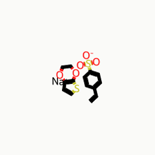 C=Cc1ccc(S(=O)(=O)[O-])cc1.[Na+].c1cc2c(s1)OCCO2